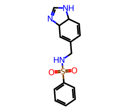 O=S(=O)(NCC1=CC2N=CNC2C=C1)c1ccccc1